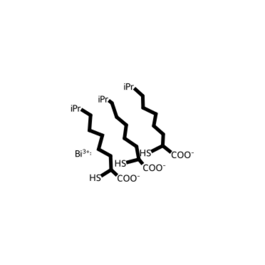 CC(C)CCCCCC(S)C(=O)[O-].CC(C)CCCCCC(S)C(=O)[O-].CC(C)CCCCCC(S)C(=O)[O-].[Bi+3]